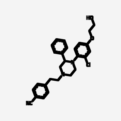 N#Cc1ccc(CCN2CCN(c3ccc(OCCO)cc3Cl)C(c3ccccc3)C2)cc1